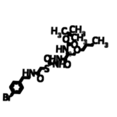 CCCCOC[C@H](NC(=O)OC(C)(C)C)C(=O)NNC(=O)SCC(=O)NCCc1ccc(Br)cc1